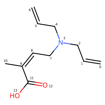 C=CCN(CC=C)CC=C(C)C(=O)O